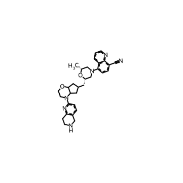 C[C@@H]1CN(c2ccc(C#N)c3ncccc23)C[C@H](CC2CC3OCCN(c4ccc5c(n4)CCNC5)C3C2)O1